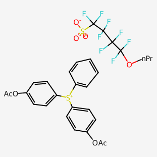 CC(=O)Oc1ccc([S+](c2ccccc2)c2ccc(OC(C)=O)cc2)cc1.CCCOC(F)(F)C(F)(F)C(F)(F)C(F)(F)S(=O)(=O)[O-]